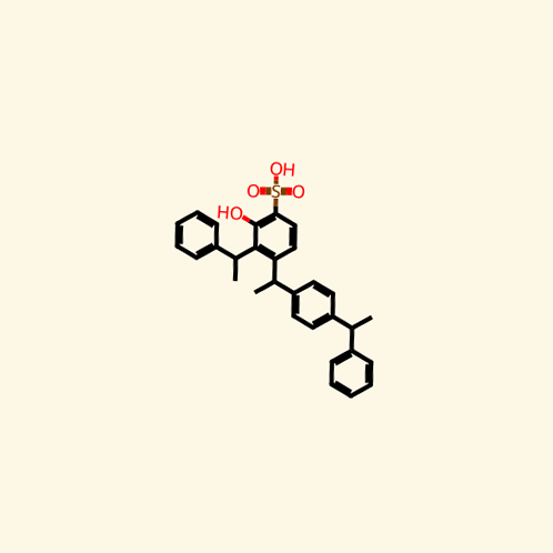 CC(c1ccccc1)c1ccc(C(C)c2ccc(S(=O)(=O)O)c(O)c2C(C)c2ccccc2)cc1